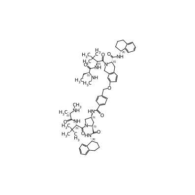 CC[C@H](NC)C(=O)N[C@H](C(=O)N1Cc2cc(OCc3ccc(C(=O)N[C@H]4C[C@@H](C(=O)N[C@@H]5CCCc6ccccc65)N(C(=O)[C@@H](NC(=O)[C@H](C)NC)C(C)(C)C)C4)cc3)ccc2C[C@H]1C(=O)N[C@@H]1CCCc2ccccc21)C(C)(C)C